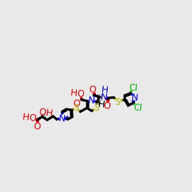 O=C(CSc1cc(Cl)nc(Cl)c1)N[C@H]1C(=O)N2C(C(=O)O)=C(CSc3cc[n+](CCC[C@@H](O)C(=O)O)cc3)CS[C@H]12